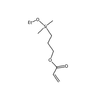 C=CC(=O)OCCC[Si](C)(C)OCC